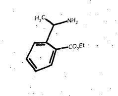 CCOC(=O)c1ccccc1C(C)N